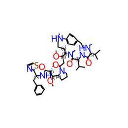 CC[C@H](C)[C@@H]([C@@H](CC(=O)N1CCC[C@H]1[C@H](OC)[C@@H](C)C(=O)N[C@@H](Cc1ccccc1)c1nccs1)OC)N(C)C(=O)[C@@H](NC(=O)[C@H](C(C)C)N(C)CCc1ccc(NC)cc1)C(C)C